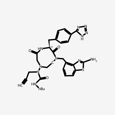 C#CCN(C(=O)NCCCC)N1CCN(Cc2cccc3sc(N)nc23)C(=O)[C@H](Cc2ccc(-c3nnn[nH]3)cc2)NC(=O)C1